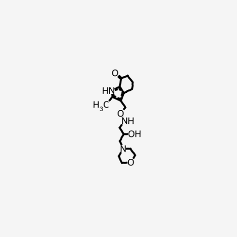 Cc1[nH]c2c(c1CONCC(O)CN1CCOCC1)CCCC2=O